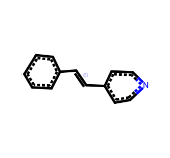 [c]1ccc(/C=C/c2ccncc2)cc1